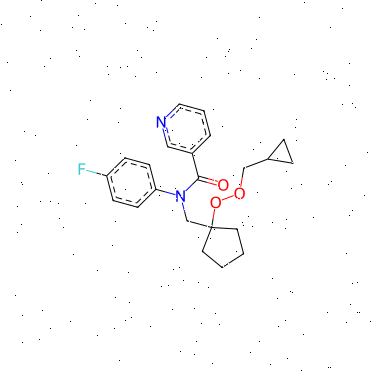 O=C(c1cccnc1)N(CC1(OOCC2CC2)CCCC1)c1ccc(F)cc1